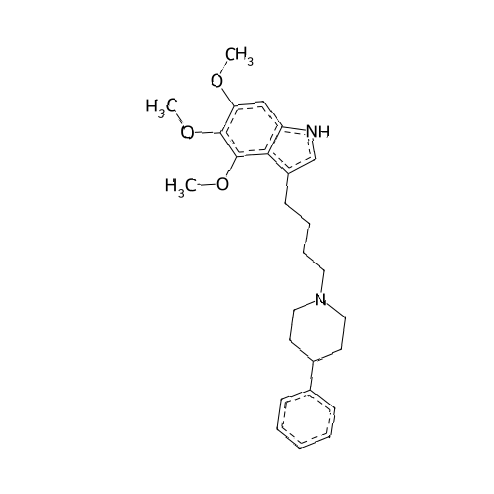 COc1cc2[nH]cc(CCCCN3CCC(c4ccccc4)CC3)c2c(OC)c1OC